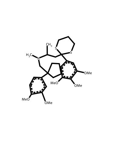 COc1ccc(C2(CN(C)C(C)CC3(c4cc(OC)c(OC)c(OC)c4)SCCCS3)CCCC2)cc1OC